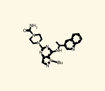 CCC(C)n1ncc2nc(N3CCN(C(N)=O)CC3)nc(NC(C)c3cnc4ccccc4c3)c21